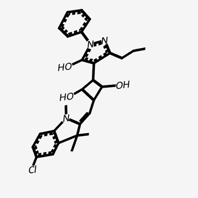 CCCc1nn(-c2ccccc2)c(O)c1C1C(O)C(C=C2N(C)c3ccc(Cl)cc3C2(C)C)C1O